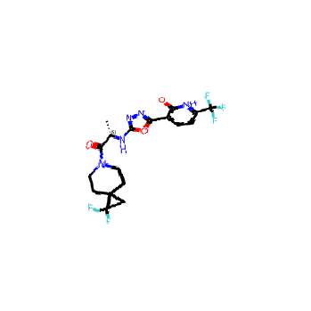 C[C@H](Nc1nnc(-c2ccc(C(F)(F)F)[nH]c2=O)o1)C(=O)N1CCC2(CC1)CC2(F)F